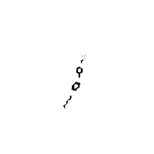 CCCCCCOc1ccc(OC(=O)c2ccc(OCCC[Si](C)(C)O)cc2)cc1